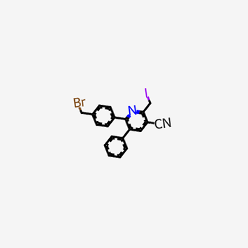 N#Cc1cc(-c2ccccc2)c(-c2ccc(CBr)cc2)nc1CI